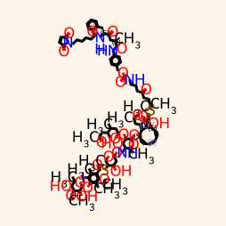 COc1c(C)c(OC2OC(C)C(O)C(OC)C2O)c(I)c(C)c1C(=O)SC1C(O)CC(ONC2C(C)OC(O[C@H]3C#C/C=C\C#C[C@]4(O)CC(=O)C(CC(C)=O)=C3/C4=C/CSSC(C)(C)CCC(=O)CCCNC(=O)OCc3ccc(NC(=O)[C@H](C)CC(=O)[C@H](Cc4ccccc4)NC(=O)CCCCCN4C(=O)C=CC4=O)cc3)C(OC3CC(C)C(CC(C)=O)CO3)C2O)OC1C